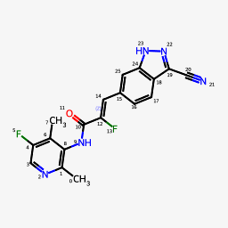 Cc1ncc(F)c(C)c1NC(=O)/C(F)=C/c1ccc2c(C#N)n[nH]c2c1